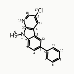 Sn1c2ccc(-c3ccccc3)cc2c2cc(Cl)cnc21